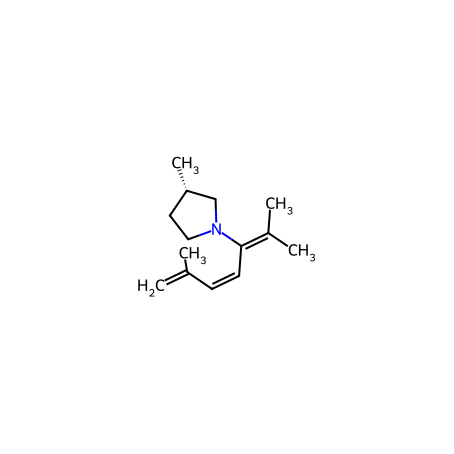 C=C(C)/C=C\C(=C(C)C)N1CC[C@H](C)C1